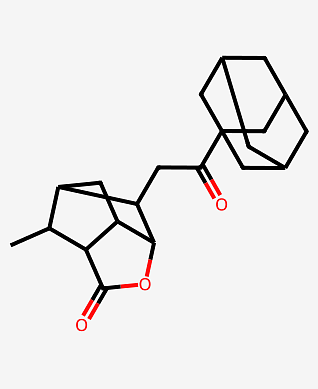 CC1C2CC3C(OC(=O)C13)C2CC(=O)C12CC3CC(CC(C3)C1)C2